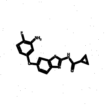 Nc1cc(Oc2ccc3nc(NC(=O)C4CC4)sc3c2)ccc1F